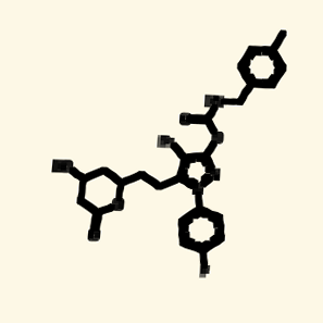 Cc1ccc(CNC(=O)Oc2nn(-c3ccc(F)cc3)c(CCC3CC(O)CC(=O)O3)c2C(C)C)cc1